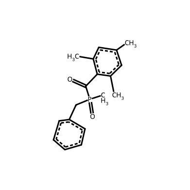 Cc1cc(C)c(C(=O)P(C)(=O)Cc2ccccc2)c(C)c1